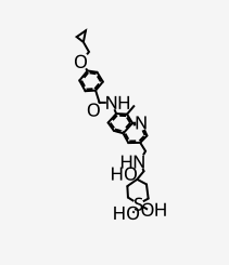 Cc1c(NC(=O)c2ccc(OCC3CC3)cc2)ccc2cc(CNCC3(O)CCS(O)(O)CC3)cnc12